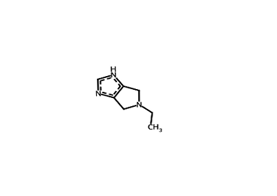 CCN1Cc2nc[nH]c2C1